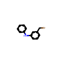 BrCc1cccc(Nc2ccccc2)c1